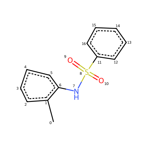 Cc1c[c]ccc1NS(=O)(=O)c1ccccc1